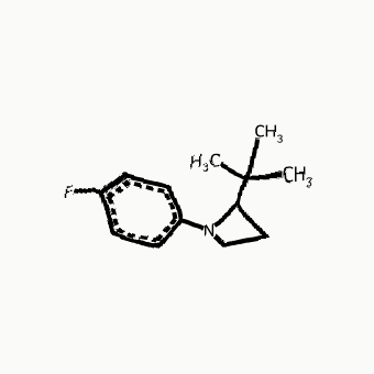 CC(C)(C)C1CCN1c1ccc(F)cc1